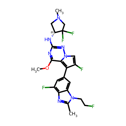 COc1nc(N[C@@H]2CN(C)CC2(F)F)nn2cc(F)c(-c3cc(F)c4nc(C)n(CCF)c4c3)c12